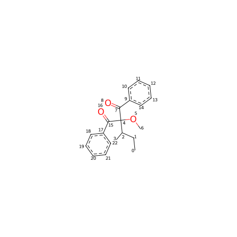 CCC(C)C(OC)(C(=O)c1ccccc1)C(=O)c1ccccc1